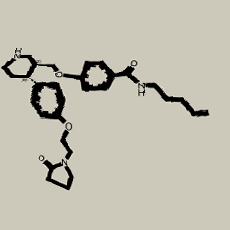 CCCCCNC(=O)c1ccc(OC[C@@H]2CNCC[C@H]2c2ccc(OCCN3CCCC3=O)cc2)cc1